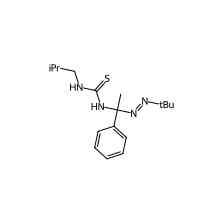 CC(C)CNC(=S)NC(C)(N=NC(C)(C)C)c1ccccc1